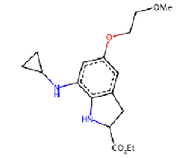 CCOC(=O)C1Cc2cc(OCCOC)cc(NC3CC3)c2N1